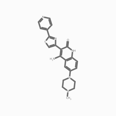 CN1CCN(c2ccc3[nH]c(=O)c(-c4csc(-c5ccncc5)n4)c(N)c3c2)CC1